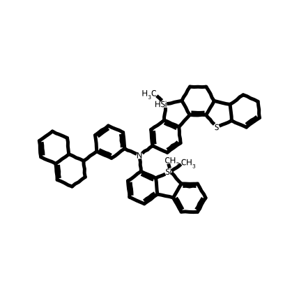 C[SiH]1c2cc(N(c3cccc(C4CCC=C5C=CCCC54)c3)c3cccc4c3[Si](C)(C)c3ccccc3-4)ccc2C2=C3SC4C=CCCC4C3CCC21